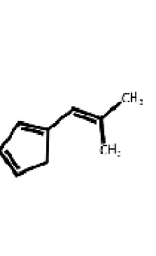 CC(C)=CC1=CC=CC1